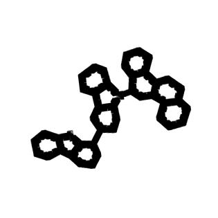 c1ccc2c(c1)ccc1c3ccccc3c(-n3c4ccccc4c4cc(-c5cccc6c5sc5ccccc56)ccc43)cc21